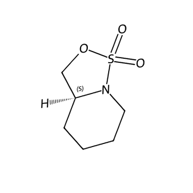 O=S1(=O)OC[C@@H]2CCCCN21